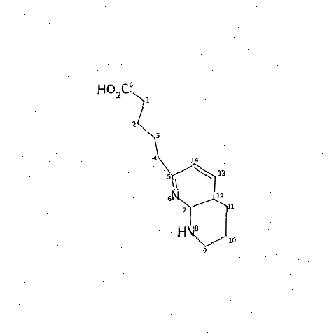 O=C(O)CCCCC1=NC2NCCCC2C=C1